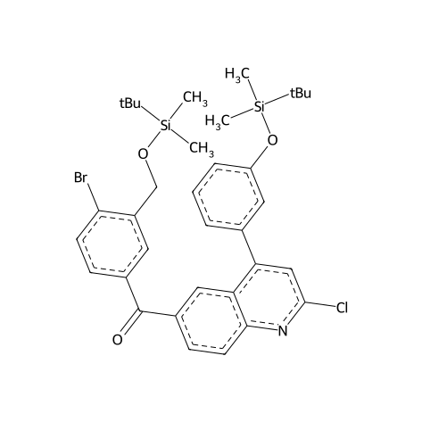 CC(C)(C)[Si](C)(C)OCc1cc(C(=O)c2ccc3nc(Cl)cc(-c4cccc(O[Si](C)(C)C(C)(C)C)c4)c3c2)ccc1Br